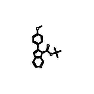 COc1ccc(-c2cc3ccncc3n2C(=O)OC(C)(C)C)cc1